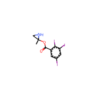 CC1(OC(=O)c2cc(I)cc(I)c2I)CN1